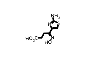 Nc1nc(C(CCC(=O)O)=NO)cs1